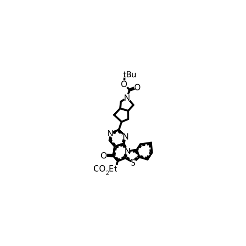 CCOC(=O)c1c(=O)c2cnc(C3CC4CN(C(=O)OC(C)(C)C)CC4C3)nc2n2c1sc1ccccc12